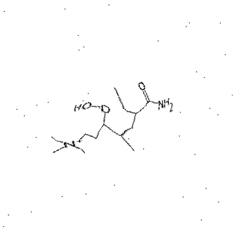 CCC(CC(C)C(CC[N+](C)(C)C)OO)C(N)=O